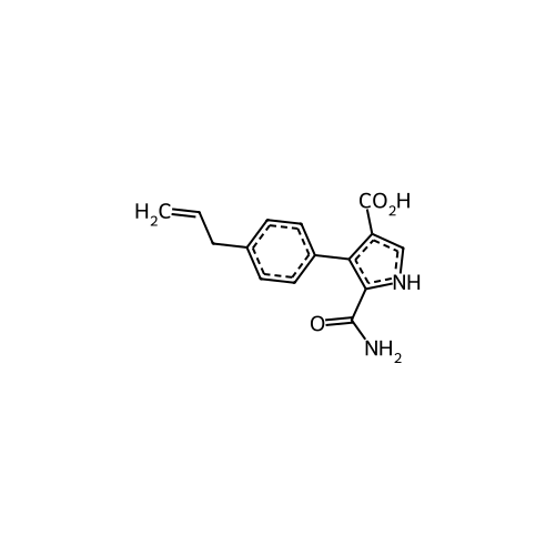 C=CCc1ccc(-c2c(C(=O)O)c[nH]c2C(N)=O)cc1